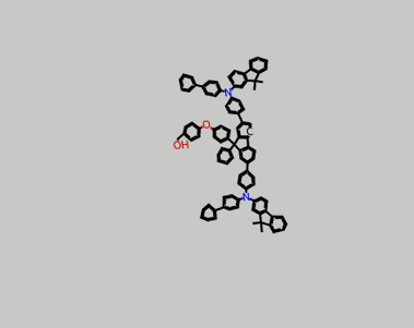 CC1(C)c2ccccc2-c2ccc(N(c3ccc(-c4ccccc4)cc3)c3ccc(-c4ccc5c(c4)C(c4ccccc4)(c4ccc(Oc6ccc(CO)cc6)cc4)c4cc(-c6ccc(N(c7ccc(-c8ccccc8)cc7)c7ccc8c(c7)C(C)(C)c7ccccc7-8)cc6)ccc4-5)cc3)cc21